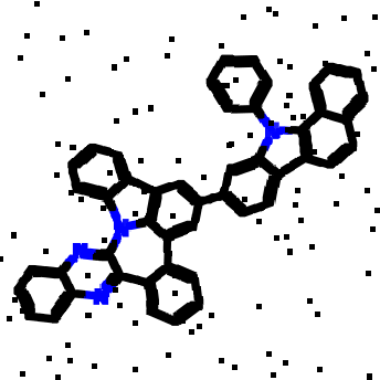 c1ccc(-n2c3cc(-c4cc5c6c(c4)c4ccccc4n6-c4nc6ccccc6nc4-c4ccccc4-5)ccc3c3ccc4ccccc4c32)cc1